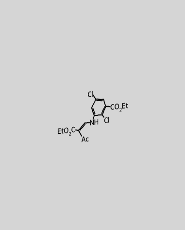 CCOC(=O)C(=CNc1cc(Cl)cc(C(=O)OCC)c1Cl)C(C)=O